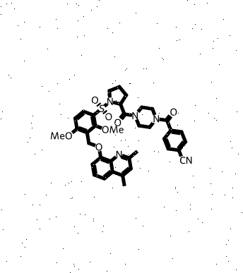 COc1ccc(S(=O)(=O)N2CCCC2C(=O)N2CCN(C(=O)c3ccc(C#N)cc3)CC2)c(OC)c1COc1cccc2c(C)cc(C)nc12